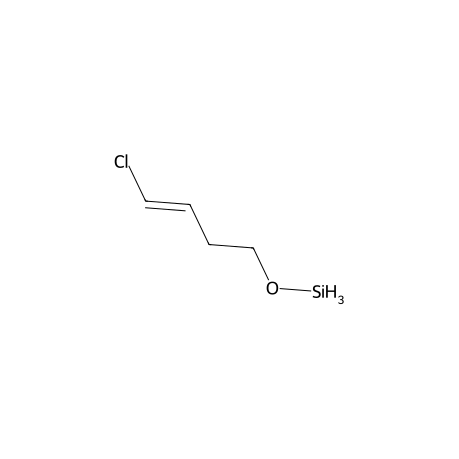 [SiH3]OCCC=CCl